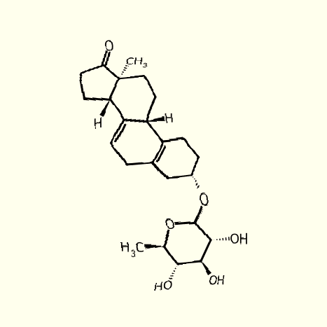 C[C@H]1OC(O[C@H]2CCC3=C(CC=C4[C@@H]3CC[C@]3(C)C(=O)CC[C@@H]43)C2)[C@H](O)[C@@H](O)[C@@H]1O